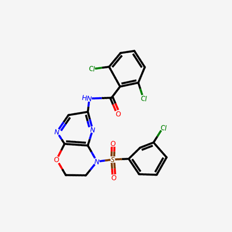 O=C(Nc1cnc2c(n1)N(S(=O)(=O)c1cccc(Cl)c1)CCO2)c1c(Cl)cccc1Cl